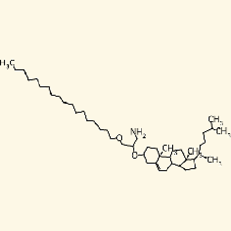 CCCCCCCCCCCCCCCCCCOCC(CN)OC1CC[C@@]2(C)C(=CCC3C2CC[C@@]2(C)C3CC[C@@H]2[C@H](C)CCCC(C)C)C1